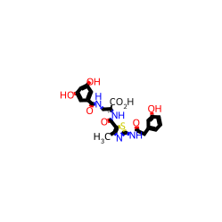 Cc1nc(NC(=O)Cc2cccc(O)c2)sc1C(=O)N[C@@H](CNC(=O)c1cc(O)cc(O)c1)C(=O)O